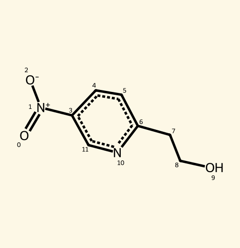 O=[N+]([O-])c1ccc(CCO)nc1